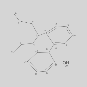 CCCC(CCC)c1ccccc1-c1ccccc1O